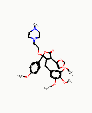 COc1ccc(C2(OCCN3CCN(C)CC3)OC(=O)C(C3=COCO3)C2Cc2cc(OC)c(OC)c(OC)c2)cc1